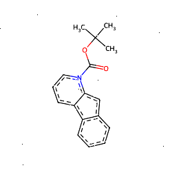 CC(C)(C)OC(=O)n1cccc2c3ccccc3cc1-2